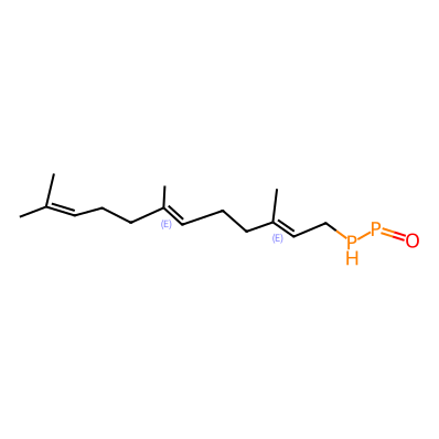 CC(C)=CCC/C(C)=C/CC/C(C)=C/CPP=O